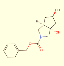 O=C(OCc1ccccc1)N1C[C@H]2C[C@@H](O)C[C@@]2(O)C1